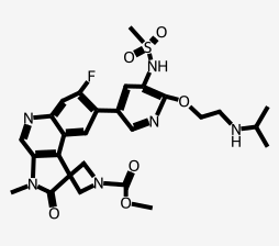 COC(=O)N1CC2(C1)C(=O)N(C)c1cnc3cc(F)c(-c4cnc(OCCNC(C)C)c(NS(C)(=O)=O)c4)cc3c12